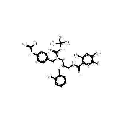 Cc1ccccc1C[C@@H](CNC(=O)c1nc(Cl)c(N)nc1N)CN(Cc1ccc(OC(=O)Cl)cc1)C(=O)OC(C)(C)C